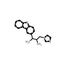 CC(Cn1ccnc1)C(C)c1ccc2sc3ccccc3c2c1